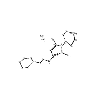 Cl.Cl.Fc1cc(OCCN2CCOCC2)cc(F)c1N1CCNCC1